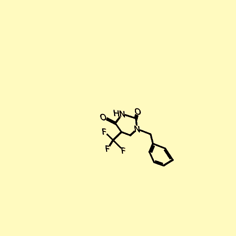 O=C1NC(=O)N(Cc2ccccc2)CC1C(F)(F)F